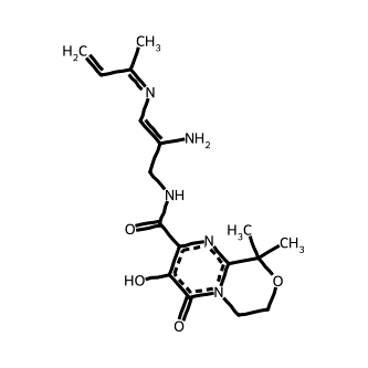 C=C/C(C)=N\C=C(/N)CNC(=O)c1nc2n(c(=O)c1O)CCOC2(C)C